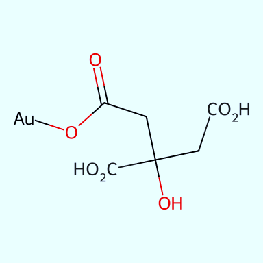 O=C(O)CC(O)(CC(=O)[O][Au])C(=O)O